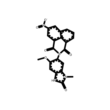 COc1cc2[nH]c(=O)n(C)c2cc1N1C(=O)c2cccc3cc([N+](=O)[O-])cc(c23)C1=O